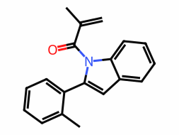 C=C(C)C(=O)n1c(-c2ccccc2C)cc2ccccc21